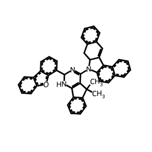 CC1(C)C2=C(NC(c3cccc4c3oc3ccccc34)N=C2N2c3ccc4ccccc4c3C3=Cc4ccccc4CC32)c2ccccc21